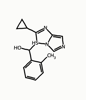 Cc1ccccc1C(O)[SH]1C(C2CC2)=Nc2cncn21